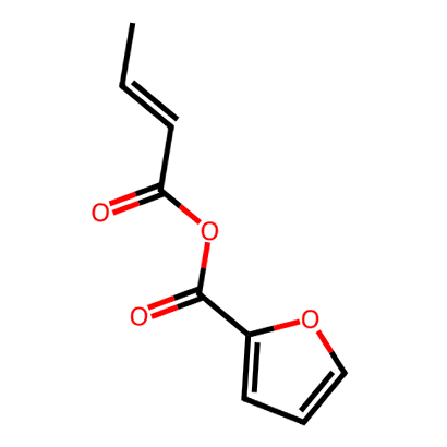 C/C=C/C(=O)OC(=O)c1ccco1